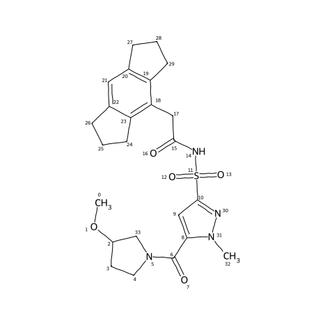 COC1CCN(C(=O)c2cc(S(=O)(=O)NC(=O)Cc3c4c(cc5c3CCC5)CCC4)nn2C)C1